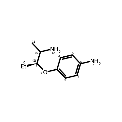 CC[C@H](Oc1ccc(N)cc1)C(C)N